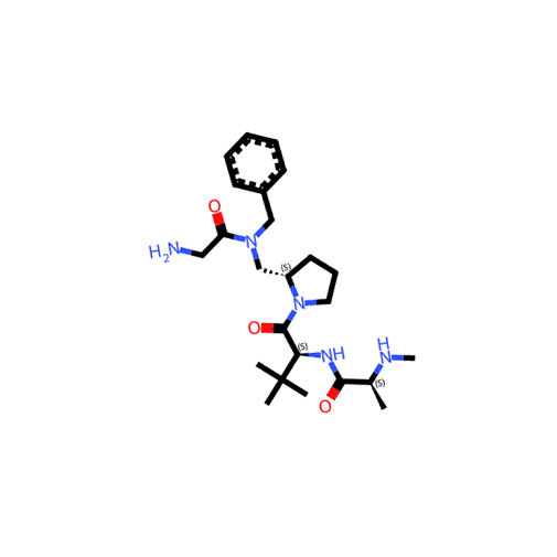 CN[C@@H](C)C(=O)N[C@H](C(=O)N1CCC[C@H]1CN(Cc1ccccc1)C(=O)CN)C(C)(C)C